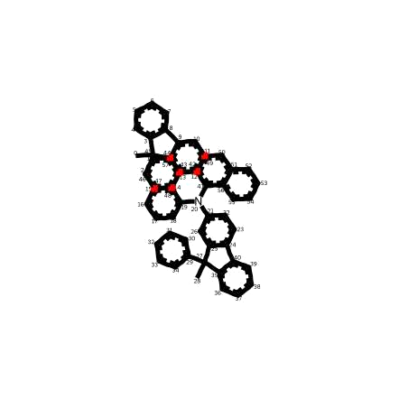 CC1(C)c2ccccc2-c2cccc(-c3ccccc3N(c3ccc4c(c3)C(C)(c3ccccc3)c3ccccc3-4)c3c(-c4ccccc4)ccc4ccccc34)c21